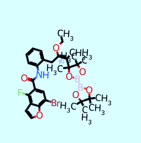 CCO/C(Cc1ccccc1NC(=O)c1cc(Br)c2occc2c1F)=C(\C)C1(C)OB(B2OC(C)(C)C(C)(C)O2)OC1(C)C